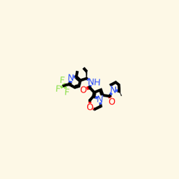 CC[C@@H](NC(=O)c1cc(C(=O)N2CCC[C@@H]2C)n2c1COCC2)c1ccc(C(F)(F)F)nc1C